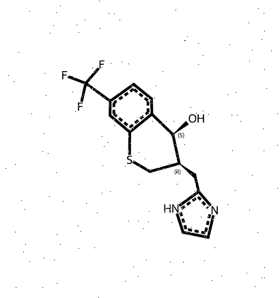 O[C@@H]1c2ccc(C(F)(F)F)cc2SC[C@@H]1Cc1ncc[nH]1